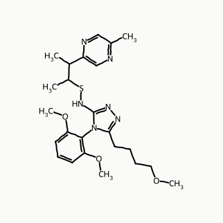 COCCCCc1nnc(NSC(C)C(C)c2cnc(C)cn2)n1-c1c(OC)cccc1OC